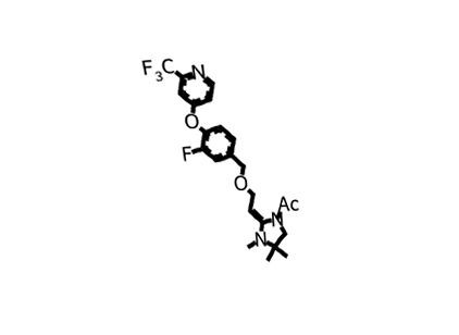 CC(=O)N1CC(C)(C)N(C)/C1=C/COCc1ccc(Oc2ccnc(C(F)(F)F)c2)c(F)c1